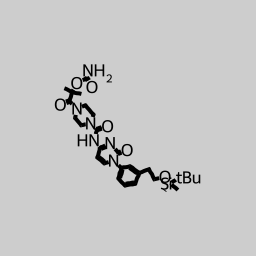 CC(C)(OC(N)=O)C(=O)N1CCN(C(=O)Nc2ccn(-c3cccc(CCO[Si](C)(C)C(C)(C)C)c3)c(=O)n2)CC1